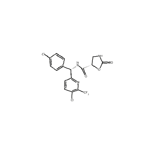 O=C1NC[C@@H](C(=O)N[C@@H](c2ccc(Cl)cc2)c2ccc(Cl)c(C(F)(F)F)n2)O1